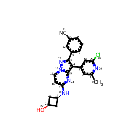 Cc1cc(-c2c(-c3cccc(C#N)c3)nn3ccc(N[C@H]4C[C@H](O)C4)nc23)cc(Cl)n1